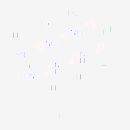 CC(=O)[NH][Ti+2][NH]C(C)=O.CC(=O)[NH][Ti+2][NH]C(C)=O.CC(=O)[NH][Ti+2][NH]C(C)=O.[Cl-].[Cl-].[Cl-].[Cl-].[Cl-].[Cl-]